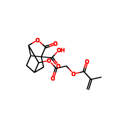 C=C(C)C(=O)OCC(=O)OC1C2CC3C1OC(=O)C3(C(=O)O)C2